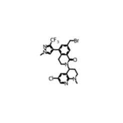 CN1CCC(N2CCc3c(cc(CBr)cc3-c3cn(C)nc3C(F)(F)F)C2=O)c2cc(Cl)cnc21